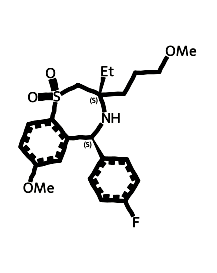 CC[C@]1(CCCOC)CS(=O)(=O)c2ccc(OC)cc2[C@H](c2ccc(F)cc2)N1